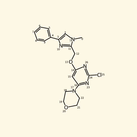 Cn1cc(-c2ccccc2)nc1COc1cc(N2CCOCC2)nc(Cl)n1